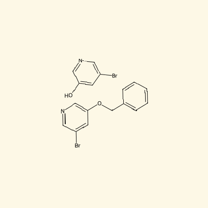 Brc1cncc(OCc2ccccc2)c1.Oc1cncc(Br)c1